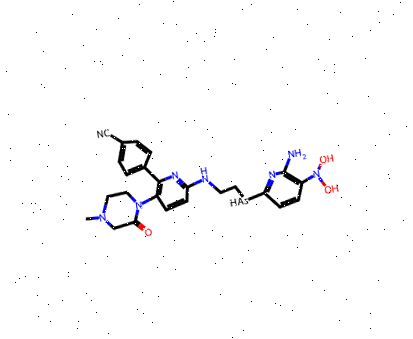 CN1CCN(c2ccc(NCC[AsH]c3ccc(N(O)O)c(N)n3)nc2-c2ccc(C#N)cc2)C(=O)C1